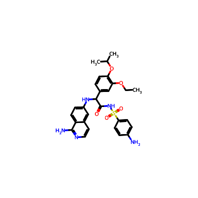 CCOc1cc(C(Nc2ccc3c(N)nccc3c2)C(=O)NS(=O)(=O)c2ccc(N)cc2)ccc1OC(C)C